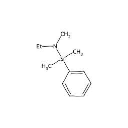 [CH2]N(CC)[Si](C)(C)c1ccccc1